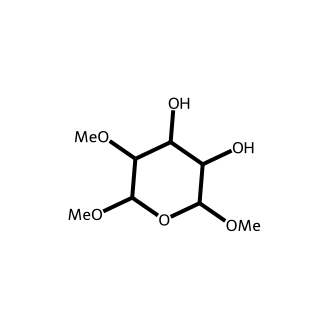 COC1OC(OC)C(OC)C(O)C1O